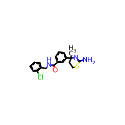 CC1(c2cccc(C(=O)NCc3ccccc3Cl)c2)CCSC(N)=N1